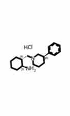 Cl.N[C@H]1CCCC[C@@H]1CN1CCC[C@H](c2ccccc2)C1